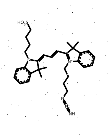 CC1(C)C(=CC=CC2=[N+](CCCCN=[N+]=N)c3ccccc3C2(C)C)N(CCCCS(=O)(=O)O)c2ccccc21